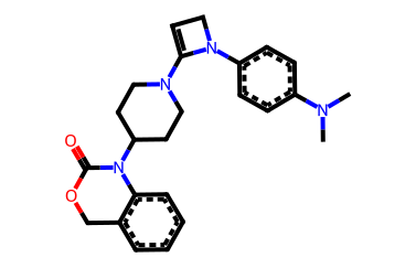 CN(C)c1ccc(N2CC=C2N2CCC(N3C(=O)OCc4ccccc43)CC2)cc1